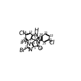 CC(C)n1c(Br)nc2c1C1(C(=O)Nc3cc(Cl)ccc31)N(c1cccc(Cl)c1)C2=O